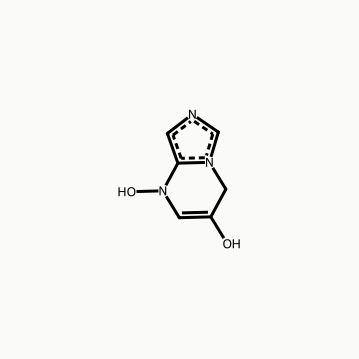 OC1=CN(O)c2cncn2C1